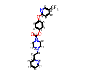 O=C(Oc1ccc(Oc2ccc(C(F)(F)F)cn2)cc1)N1CCN(CCc2ccccn2)CC1